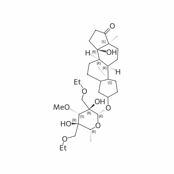 CCOC[C@]1(O)[C@H](OC2CC[C@@]3(C)C(CC[C@@H]4[C@H]3CC[C@]3(C)C(=O)CC[C@@]43O)C2)O[C@H](C)[C@](O)(COCC)[C@@H]1OC